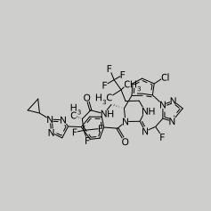 C[C@H](C(=O)NC[C@@H]1c2ccc(Cl)c(c2)-n2ncnc2C(F)/N=C(\NCCC(C)(C)C(F)(F)F)N1C(=O)c1ccc(-c2cnn(C3CC3)n2)cc1)C(F)(F)F